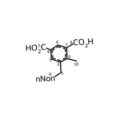 CCCCCCCCCCc1cc(C(=O)O)cc(C(=O)O)c1C